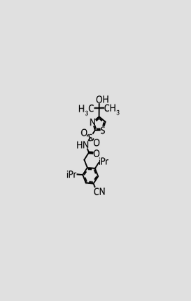 CC(C)c1cc(C#N)cc(C(C)C)c1CC(=O)NS(=O)(=O)c1nc(C(C)(C)O)cs1